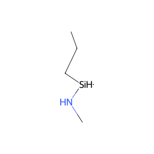 CCC[SiH]NC